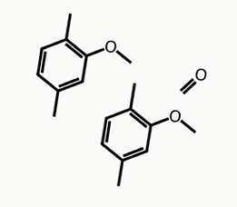 C=O.COc1cc(C)ccc1C.COc1cc(C)ccc1C